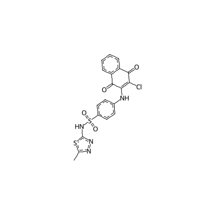 Cc1nnc(NS(=O)(=O)c2ccc(NC3=C(Cl)C(=O)c4ccccc4C3=O)cc2)s1